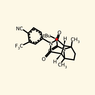 CC(C)(C)OC(=O)N1C2(C)CCC1(C)[C@H]1C(=O)N(c3ccc(C#N)c(C(F)(F)F)c3)C(=O)[C@H]12